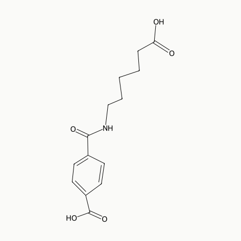 O=C(O)CCCCCNC(=O)c1ccc(C(=O)O)cc1